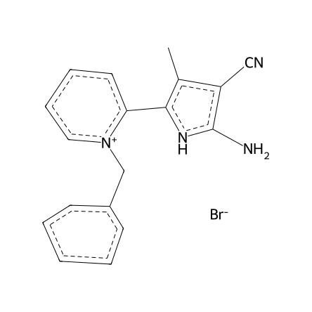 Cc1c(-c2cccc[n+]2Cc2ccccc2)[nH]c(N)c1C#N.[Br-]